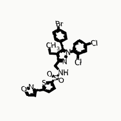 CCc1c(CNS(=O)(=O)c2ccc(-c3ccon3)s2)nn(-c2ccc(Cl)cc2Cl)c1-c1ccc(Br)cc1